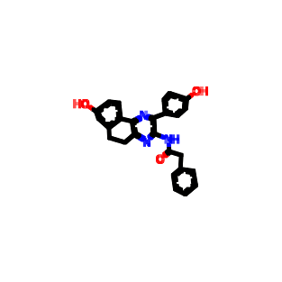 O=C(Cc1ccccc1)Nc1nc2c(nc1-c1ccc(O)cc1)-c1ccc(O)cc1CC2